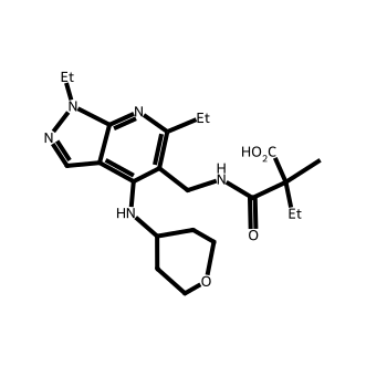 CCc1nc2c(cnn2CC)c(NC2CCOCC2)c1CNC(=O)C(C)(CC)C(=O)O